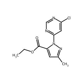 CCOC(=O)c1cc(C)nn1-c1cc(Cl)ncn1